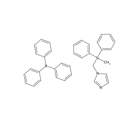 C[Si](Cn1ccnc1)(c1ccccc1)c1ccccc1.c1ccc(B(c2ccccc2)c2ccccc2)cc1